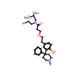 COC(CN(CCC(C)C)C(=O)CCOCCc1ccc(O)c(C2(c3ccccc3)CCN(C)CC2)c1)OC